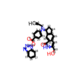 C#CCN(c1ccc(C(=O)On2nnc3ccccc32)cc1)[C@H]1CCc2cc3cc(CO)[nH]c(=O)c3cc21